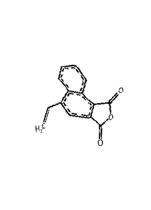 C=Cc1cc2c(c3ccccc13)C(=O)OC2=O